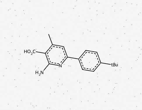 Cc1cc(-c2ccc(C(C)(C)C)cc2)nc(N)c1C(=O)O